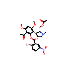 COc1cc(OC)c([C@H]2CCN(C)[C@@H]2COC(C)=O)c(OC(=O)c2cc([N+](=O)[O-])ccc2Br)c1C(C)=O